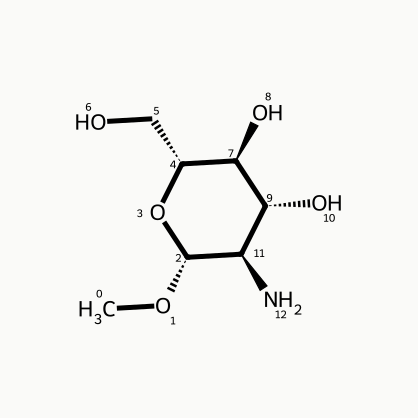 CO[C@@H]1O[C@H](CO)[C@@H](O)[C@H](O)[C@H]1N